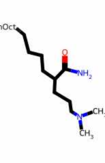 CCCCCCCCCCCCC(CCCN(C)C)C(N)=O